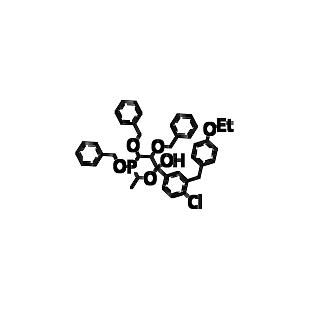 CCOc1ccc(Cc2cc(C3(O)OC(C)P(OCc4ccccc4)C(OCc4ccccc4)C3OCc3ccccc3)ccc2Cl)cc1